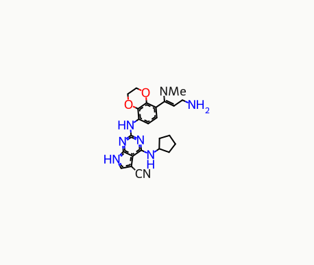 CN/C(=C\CN)c1ccc(Nc2nc(NC3CCCC3)c3c(C#N)c[nH]c3n2)c2c1OCCO2